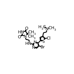 CN(C)CCc1cc(-c2nc(NCCN3C(=O)NC(=O)C3(C)C)ncc2Br)sc1Cl